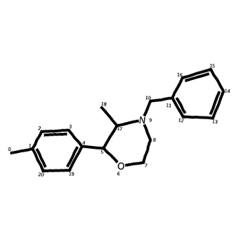 Cc1ccc(C2OCCN(Cc3ccccc3)C2C)cc1